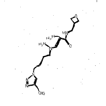 N/C(=C\N(N)CCCCn1cc(C=O)nn1)C(=O)NCC1COC1